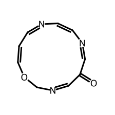 O=C1C=NC=CN=CC=COCN=C1